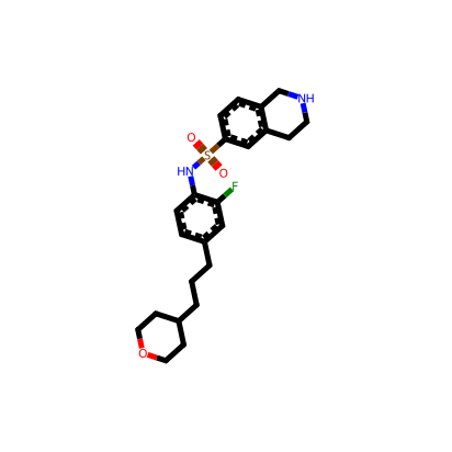 O=S(=O)(Nc1ccc(CCCC2CCOCC2)cc1F)c1ccc2c(c1)CCNC2